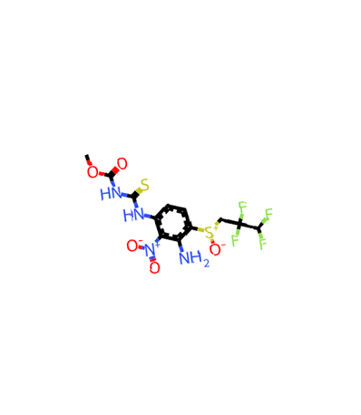 COC(=O)NC(=S)Nc1ccc([S+]([O-])CC(F)(F)C(F)F)c(N)c1[N+](=O)[O-]